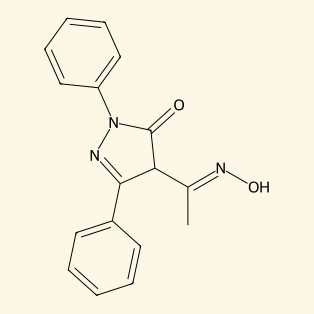 CC(=NO)C1C(=O)N(c2ccccc2)N=C1c1ccccc1